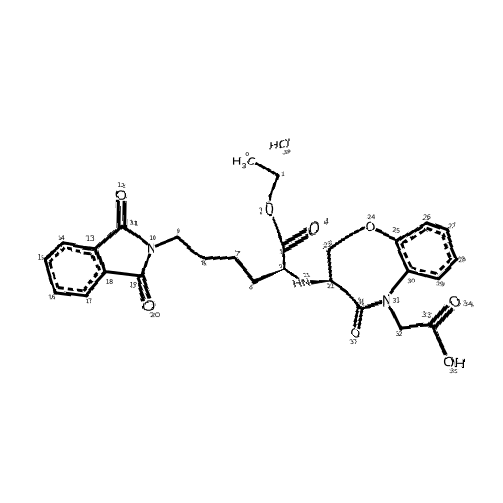 CCOC(=O)[C@H](CCCCN1C(=O)c2ccccc2C1=O)N[C@H]1COc2ccccc2N(CC(=O)O)C1=O.Cl